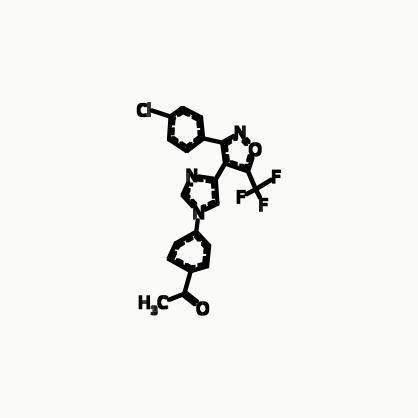 CC(=O)c1ccc(-n2cnc(-c3c(-c4ccc(Cl)cc4)noc3C(F)(F)F)c2)cc1